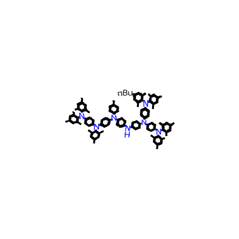 CCCCc1cc(C)c(N(c2ccc(N(c3ccc(Nc4ccc(N(c5ccc(C)cc5)c5ccc(N(c6ccc(N(c7c(C)cc(C)cc7C)c7c(C)cc(C)cc7C)cc6)c6c(C)cc(C)cc6C)cc5)cc4)cc3)c3ccc(N(c4c(C)cc(C)cc4C)c4c(C)cc(C)cc4C)cc3)cc2)c2c(C)cc(C)cc2C)c(C)c1